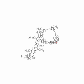 C=C1CC2CC[C@]34CCC(O3)C3OC5CCC(CC(=O)OC6[C@H](C[C@H]7OC(CC[C@@H]1O2)C[C@@H](C)C7=C)O[C@H]1C[C@@H](OC)[C@@H](CC(=O)C[C@@H]2OC7(C[C@H](C)C8OC(O[Si](C)(C)C(C)(C)C)C(O)CC8O7)C[C@H](C)[C@@H]2OC)O[C@H]1[C@@H]6C)O[C@@H]5C(O4)C3OC